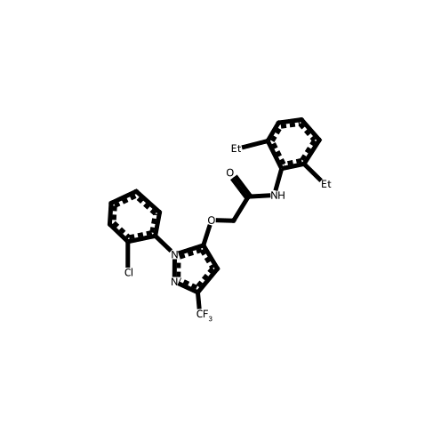 CCc1cccc(CC)c1NC(=O)COc1cc(C(F)(F)F)nn1-c1ccccc1Cl